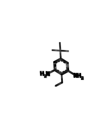 CCc1c(N)cc(C(C)(C)C)cc1N